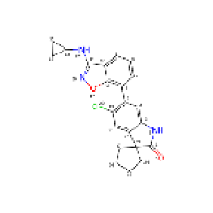 O=C1Nc2cc(-c3cccc4c(NC5CC5)noc34)c(Cl)cc2C12CCCC2